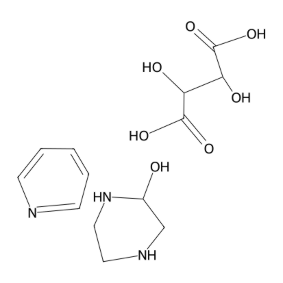 O=C(O)C(O)C(O)C(=O)O.OC1CNCCN1.c1ccncc1